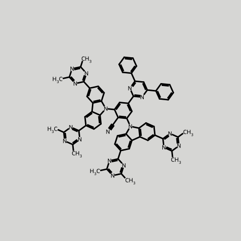 Cc1nc(C)nc(-c2ccc3c(c2)c2cc(-c4nc(C)nc(C)n4)ccc2n3-c2cc(-c3nc(-c4ccccc4)cc(-c4ccccc4)n3)cc(-n3c4ccc(-c5nc(C)nc(C)n5)cc4c4cc(-c5nc(C)nc(C)n5)ccc43)c2C#N)n1